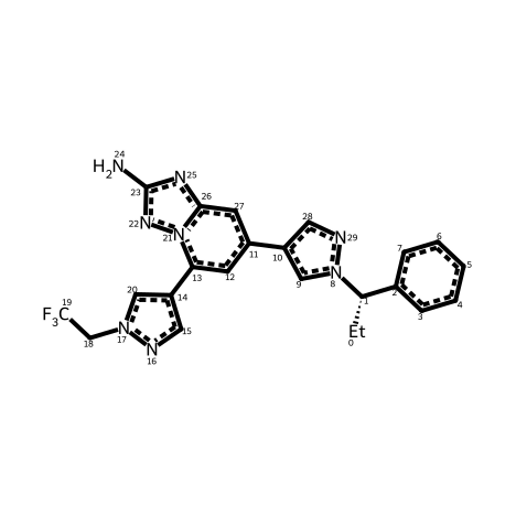 CC[C@@H](c1ccccc1)n1cc(-c2cc(-c3cnn(CC(F)(F)F)c3)n3nc(N)nc3c2)cn1